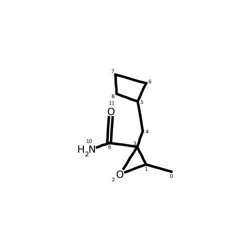 CC1OC1(CC1CCC1)C(N)=O